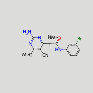 CN[C@@](C)(C(=O)Nc1cccc(Br)c1)c1nc(N)nc(OC)c1C#N